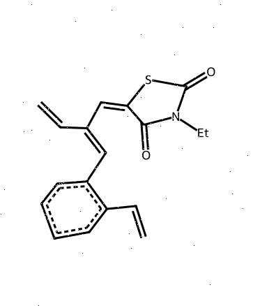 C=CC(=C\c1ccccc1C=C)/C=C1/SC(=O)N(CC)C1=O